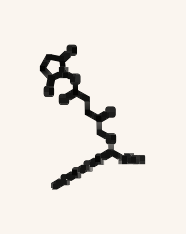 C=C=C=C=C=C(CCCCCCCCC)OCC(=O)CCC(=O)ON1C(=O)CCC1=O